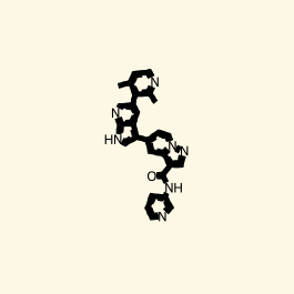 Cc1ccnc(C)c1-c1cnc2[nH]cc(-c3ccn4ncc(C(=O)Nc5cccnc5)c4c3)c2c1